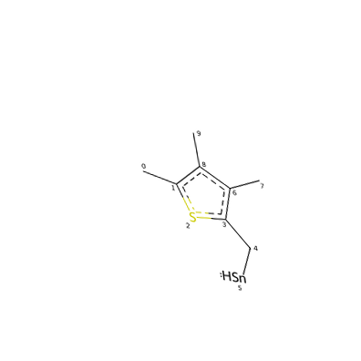 Cc1sc([CH2][SnH])c(C)c1C